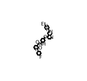 CCN1CCN(c2cc3c(Oc4ccc(NC(=O)c5cccn(-c6ccc(F)cc6)c5=O)cc4)ccnc3cn2)CC1